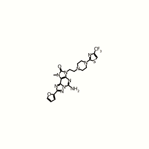 Cn1c(=O)n(CCN2CCN(c3nc(C(F)(F)F)cs3)CC2)c2nc(N)n3nc(-c4ccco4)nc3c21